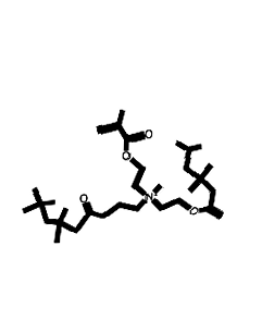 C=C(CC(C)(C)CC(C)C)OCC[N+](C)(CCCC(=O)CC(C)(C)CC(C)(C)C)CCOC(=O)C(=C)C